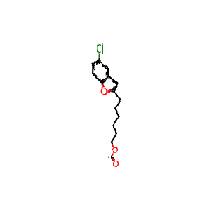 O=[C]OCCCCCCc1cc2cc(Cl)ccc2o1